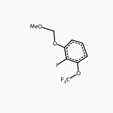 COCOc1cccc(OC(F)(F)F)c1I